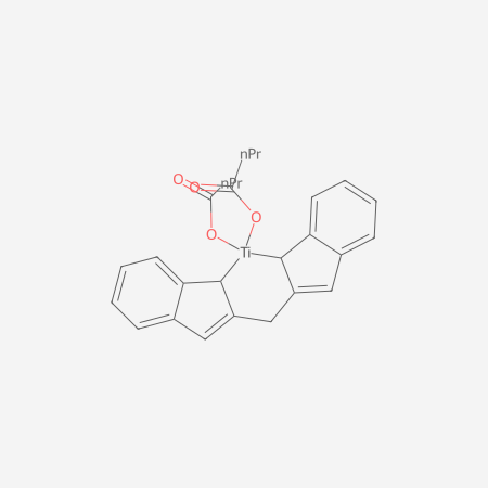 CCCC(=O)[O][Ti]1([O]C(=O)CCC)[CH]2C(=Cc3ccccc32)CC2=Cc3ccccc3[CH]21